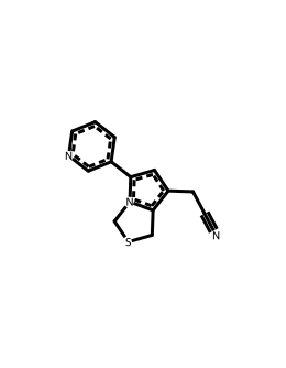 N#CCc1cc(-c2cccnc2)n2c1CSC2